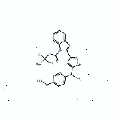 COc1ccc(C(N)c2cc(-c3nc4ccccc4n3C(=O)OC(C)(C)C)n[nH]2)cc1